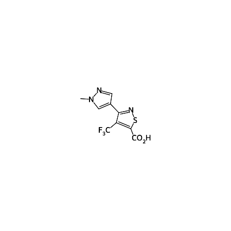 Cn1cc(-c2nsc(C(=O)O)c2C(F)(F)F)cn1